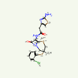 Nc1nc(CC(=O)N[C@@H]2C(=O)N3CC(Sc4ccccc4Br)(C(=O)O)CS[C@H]23)cs1